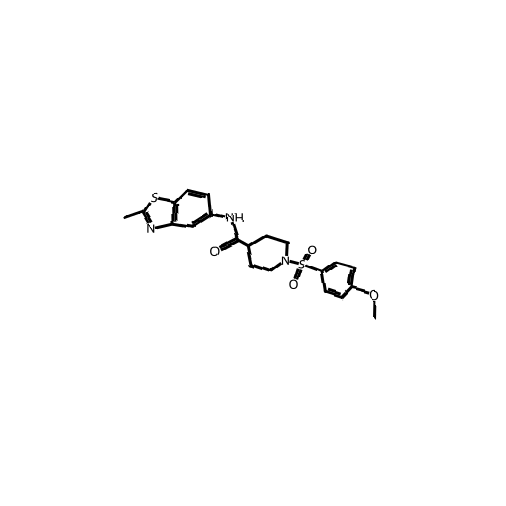 COc1ccc(S(=O)(=O)N2CCC(C(=O)Nc3ccc4sc(C)nc4c3)CC2)cc1